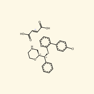 Clc1ccc(-c2cccnc2S[C@@H](c2ccccc2)[C@@H]2CNCCO2)cc1.O=C(O)/C=C/C(=O)O